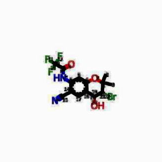 CC1(C)Oc2cc(NC(=O)C(F)(F)F)c(C#N)cc2[C@H](O)[C@H]1Br